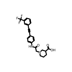 O=C(CN1CCCC(C(=O)O)C1)Nc1ccc(C#Cc2cccc(C(F)(F)F)c2)cc1